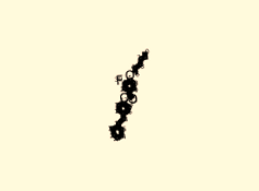 CCCCCCOc1ccc(C(=O)Oc2ccc(CCC3CC[CH]CC3)cc2)cc1F